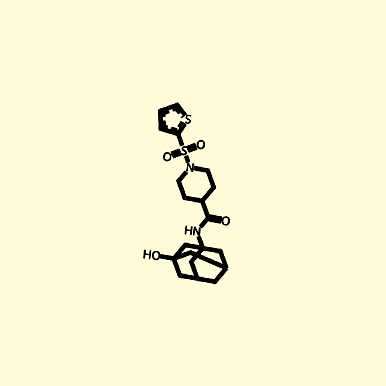 O=C(NC12CC3CC(CC(O)(C3)C1)C2)C1CCN(S(=O)(=O)c2cccs2)CC1